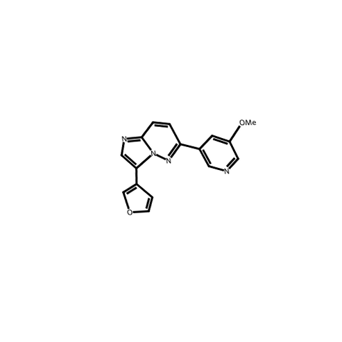 COc1cncc(-c2ccc3ncc(-c4ccoc4)n3n2)c1